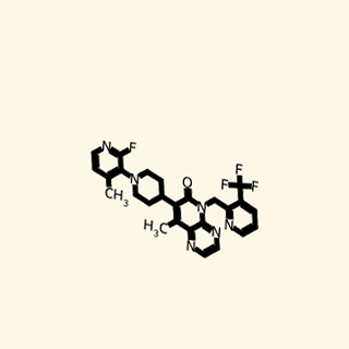 Cc1ccnc(F)c1N1CCC(c2c(C)c3nccnc3n(Cc3ncccc3C(F)(F)F)c2=O)CC1